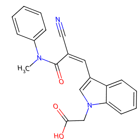 CN(C(=O)C(C#N)=Cc1cn(CC(=O)O)c2ccccc12)c1ccccc1